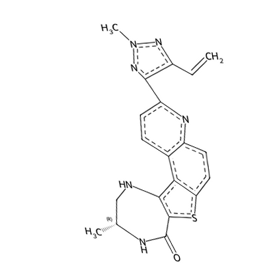 C=Cc1nn(C)nc1-c1ccc2c(ccc3sc4c(c32)NC[C@@H](C)NC4=O)n1